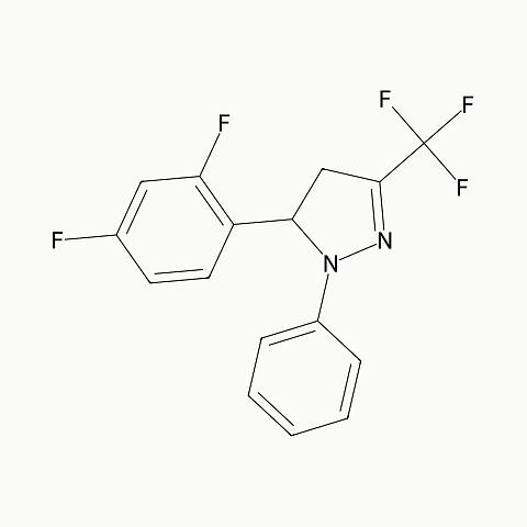 Fc1ccc(C2CC(C(F)(F)F)=NN2c2ccccc2)c(F)c1